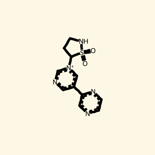 O=S1(=O)NCCC1[n+]1cncc(-c2cnccn2)c1